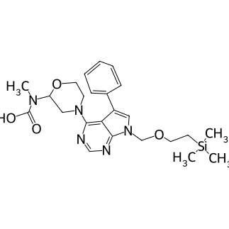 CN(C(=O)O)C1CN(c2ncnc3c2c(-c2ccccc2)cn3COCC[Si](C)(C)C)CCO1